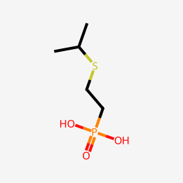 CC(C)SCCP(=O)(O)O